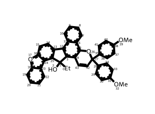 CCC1(O)c2c3c(c4ccccc4c2-c2ccc4oc5ccccc5c4c21)OC(c1ccc(OC)cc1)(c1ccc(OC)cc1)C=C3